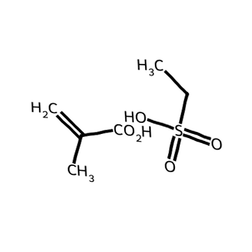 C=C(C)C(=O)O.CCS(=O)(=O)O